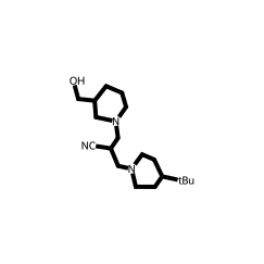 CC(C)(C)C1CCN(CC(C#N)CN2CCCC(CO)C2)CC1